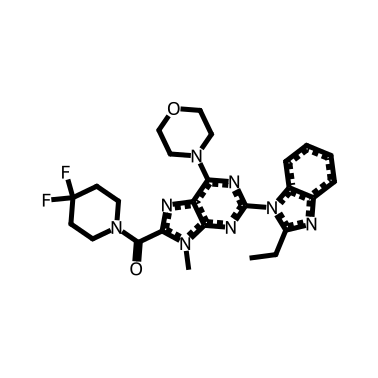 CCc1nc2ccccc2n1-c1nc(N2CCOCC2)c2nc(C(=O)N3CCC(F)(F)CC3)n(C)c2n1